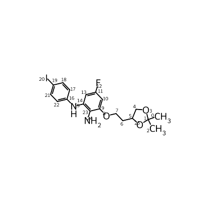 CC1(C)OCC(CCOc2cc(F)cc(Nc3ccc(I)cc3)c2N)O1